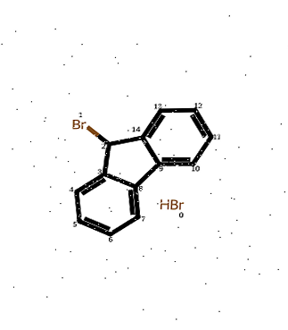 Br.BrC1c2ccccc2-c2ccccc21